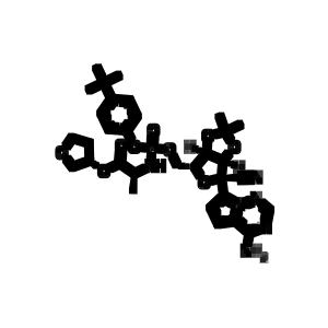 C[C@H](NP(=O)(OC[C@H]1O[C@@](C#N)(c2ccc3c(N)ncnn23)[C@@H]2OC(C)(C)O[C@@H]21)Oc1ccc(C(C)(C)C)cc1)C(=O)O[C@H]1CCOC1